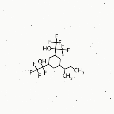 CCC(C)C1CC(C(O)(F)C(F)(F)F)CC(C(O)(C(F)(F)F)C(F)(F)F)C1